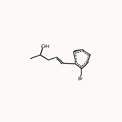 CC(O)CC=Cc1ccccc1Br